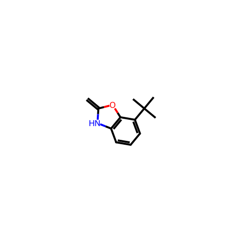 C=C1Nc2cccc(C(C)(C)C)c2O1